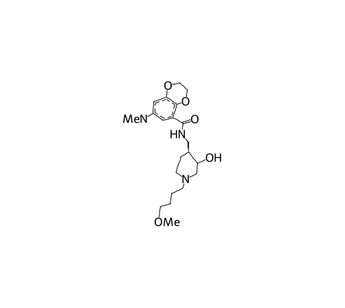 CNc1cc2c(c(C(=O)NC[C@@H]3CCN(CCCCOC)CC3O)c1)OCCO2